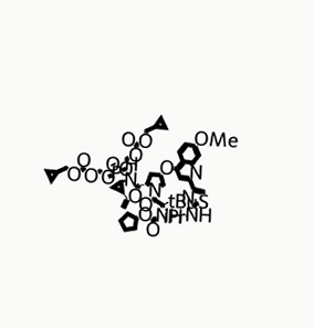 C=C[C@@H]1C[C@]1(NC(=O)[C@@H]1CC(Oc2cc(-c3csc(NC(C)C)n3)nc3cc(OC)ccc23)CN1C(=O)[C@@H](NC(=O)OC1CCCC1)C(C)(C)C)P(=O)(OCOC(=O)OCC1CC1)OCOC(=O)OCC1CC1